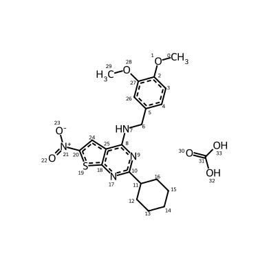 COc1ccc(CNc2nc(C3CCCCC3)nc3sc([N+](=O)[O-])cc23)cc1OC.O=C(O)O